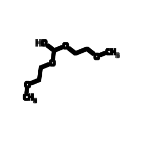 COCCOC(O)OCCOC